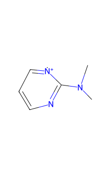 CN(C)C1=NC=CC=[N+]1